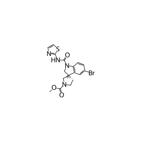 COC(=O)N1CC[C@]2(C1)CN(C(=O)Nc1nccs1)c1ccc(Br)cc12